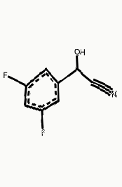 N#CC(O)c1cc(F)cc(F)c1